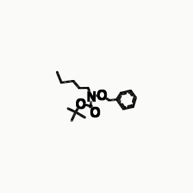 CCCCCN(OCc1ccccc1)C(=O)OC(C)(C)C